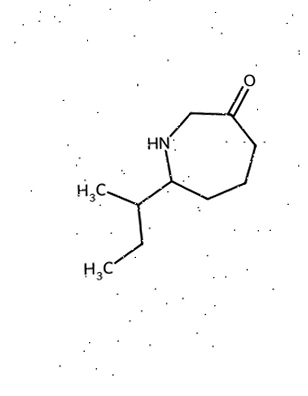 CCC(C)C1CCCC(=O)CN1